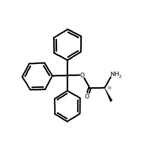 C[C@H](N)C(=O)OC(c1ccccc1)(c1ccccc1)c1ccccc1